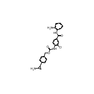 Nc1ccccc1NC(=O)c1ccc(NC(=O)OCc2ccc(C3CC3N)cc2)c(Cl)c1